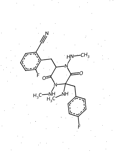 CNN1C(=O)C(Cc2ccc(F)cc2)(NC)N(NC)C(=O)C1Cc1c(F)cccc1C#N